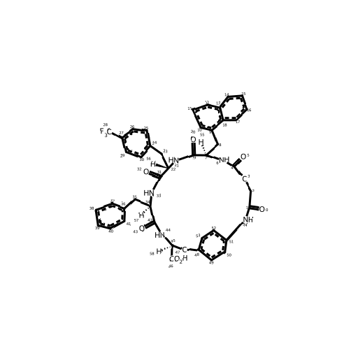 O=C1CCC(=O)N[C@H](Cc2cccc3ccccc23)C(=O)N[C@@H](Cc2ccc(C(F)(F)F)cc2)C(=O)N[C@H](Cc2ccccc2)C(=O)N[C@H](C(=O)O)Cc2ccc(cc2)N1